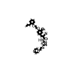 C=CCc1ccccc1OCCOc1ccc(/C=C(\C#N)C(=O)Nc2nnc(SCCN3CCOCC3)s2)cc1OC